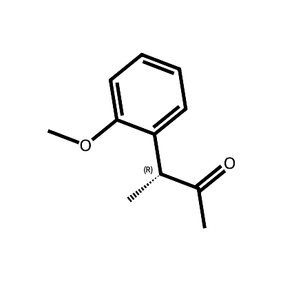 COc1ccccc1[C@@H](C)C(C)=O